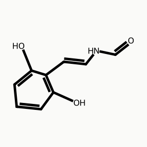 O=CNC=Cc1c(O)cccc1O